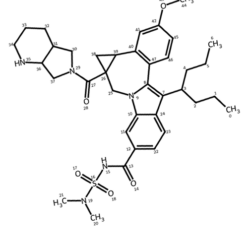 CCCC(CCC)c1c2n(c3cc(C(=O)NS(=O)(=O)N(C)C)ccc13)CC1(C(=O)N3CC4CCCNC4C3)CC1c1cc(OC)ccc1-2